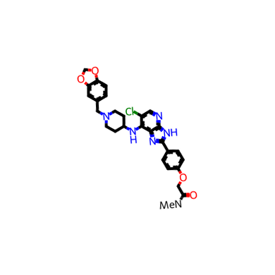 CNC(=O)COc1ccc(-c2nc3c(NC4CCN(Cc5ccc6c(c5)OCO6)CC4)c(Cl)cnc3[nH]2)cc1